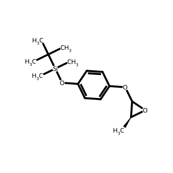 C[C@@H]1OC1Oc1ccc(O[Si](C)(C)C(C)(C)C)cc1